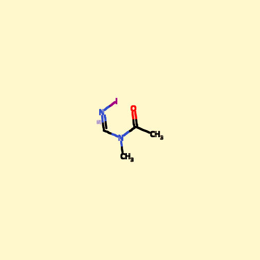 CC(=O)N(C)/C=N\I